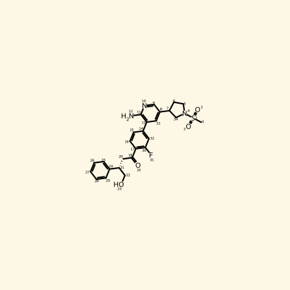 CS(=O)(=O)N1CCC(c2cnc(N)c(-c3ccc(C(=O)C[C@H](CO)c4ccccc4)c(F)c3)c2)C1